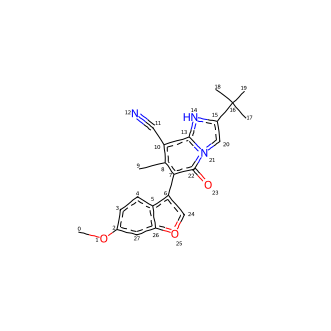 COc1ccc2c(-c3c(C)c(C#N)c4[nH]c(C(C)(C)C)cn4c3=O)coc2c1